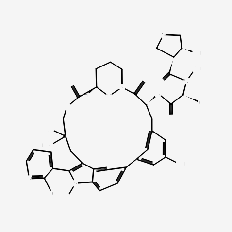 CCn1c(-c2cccnc2C(C)C)c2c3cc(ccc31)-c1cc(O)cc(c1)C[C@H](NC(=O)[C@H](C(C)C)N(C)C(=O)[C@H]1CNC[C@H]1C)C(=O)N1CCC[C@H](N1)C(=O)OCC(C)(C)C2